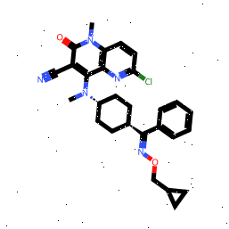 Cn1c(=O)c(C#N)c(N(C)[C@H]2CC[C@H](/C(=N/OCC3CC3)c3ccccc3)CC2)c2nc(Cl)ccc21